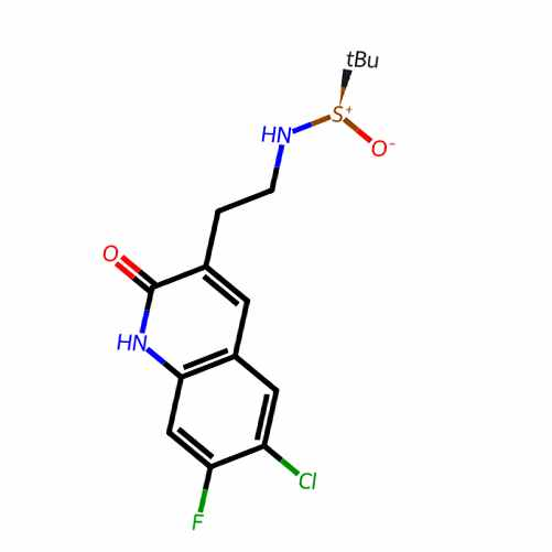 CC(C)(C)[S@@+]([O-])NCCc1cc2cc(Cl)c(F)cc2[nH]c1=O